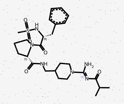 CC(C)C(=O)/N=C(\N)N1CCC(CNC(=O)[C@@H]2CCCN2C(=O)[C@@H](Cc2ccccc2)NS(C)(=O)=O)CC1